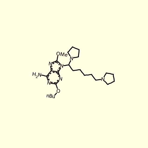 CCCCOc1nc(N)c2nc(OC)n(C(CCCCCN3CCCC3)N3CCCC3)c2n1